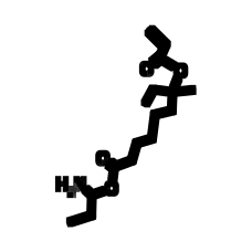 C=CC(=O)OC(C)(CC)CCCCCC(=O)OC(N)CC